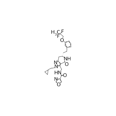 CC(F)(F)COc1cccc(CC[C@H]2Cc3nn(CCC4CC4)c(CNC(=O)c4cocn4)c3C(=O)N2)c1